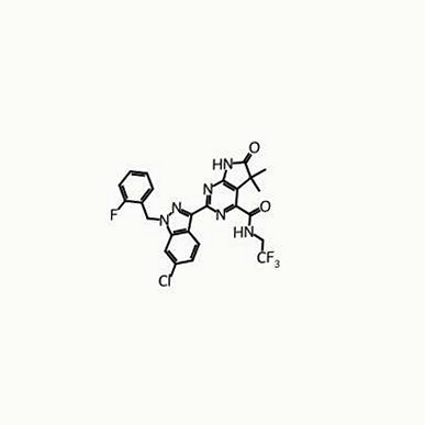 CC1(C)C(=O)Nc2nc(-c3nn(Cc4ccccc4F)c4cc(Cl)ccc34)nc(C(=O)NCC(F)(F)F)c21